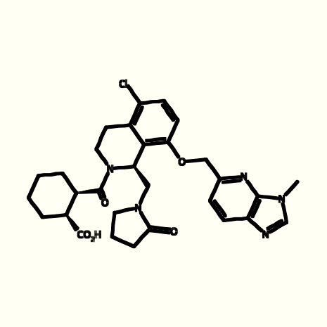 Cn1cnc2ccc(COc3ccc(Cl)c4c3[C@@H](CN3CCCC3=O)N(C(=O)[C@@H]3CCCC[C@@H]3C(=O)O)CC4)nc21